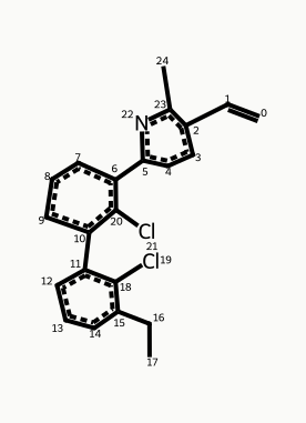 C=Cc1ccc(-c2cccc(-c3cccc(CC)c3Cl)c2Cl)nc1C